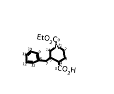 CCOC(=O)N1CCC(C(=O)O)C(Cc2ccccc2)C1